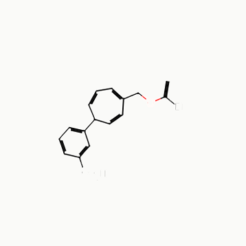 C=C(CC)OCC1=CC=CC(c2cccc(C(=O)O)c2)C=C1